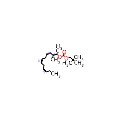 CC/C=C\C/C=C\C/C=C\C(C)=C(/C)OC(=O)OCC(C)(C)C